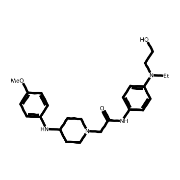 CCN(CCO)c1ccc(NC(=O)CN2CCC(Nc3ccc(OC)cc3)CC2)cc1